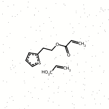 C=CC(=O)O.C=CC(=O)OCCc1cccs1